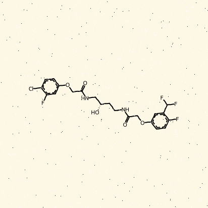 O=C(COc1ccc(F)c(C(F)F)c1)NCC[C@H](O)CNC(=O)COc1ccc(Cl)c(F)c1